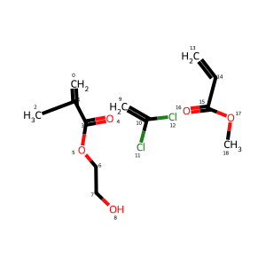 C=C(C)C(=O)OCCO.C=C(Cl)Cl.C=CC(=O)OC